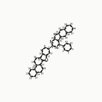 c1ccc(-c2nc(-c3ccc4c(c3)oc3c4ccc4c5ccccc5ccc43)nc3sc4cc5ccccc5cc4c23)cc1